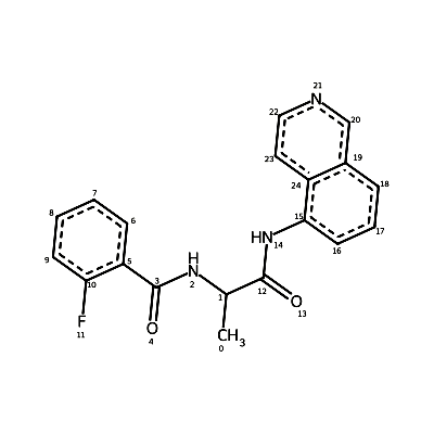 CC(NC(=O)c1ccccc1F)C(=O)Nc1cccc2cnccc12